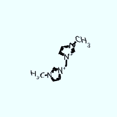 Cn1cc[n+](C[n+]2ccn(C)c2)c1